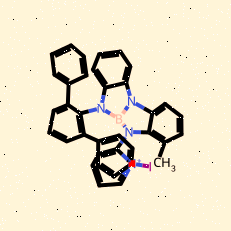 Cc1cccc2c1N(c1cccc[n+]1I)B1N2c2ccccc2N1c1c(-c2ccccc2)cccc1-c1ccccc1